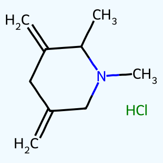 C=C1CC(=C)C(C)N(C)C1.Cl